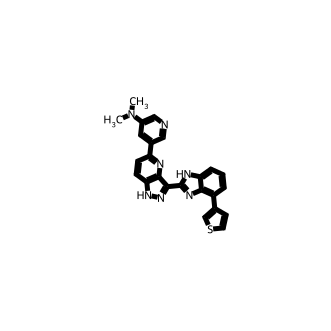 CN(C)c1cncc(-c2ccc3[nH]nc(-c4nc5c(-c6ccsc6)cccc5[nH]4)c3n2)c1